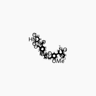 COc1cc(-c2cn(C)c(=O)c3ccsc23)cc(OC)c1CN1CC(Oc2ccc3c(c2)C(=O)N(C2CCC(=O)NC2=O)C3=O)C1